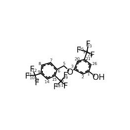 Oc1cc(OCc2ccc(C(F)(F)F)cc2C(F)(F)F)cc(C(F)(F)F)c1